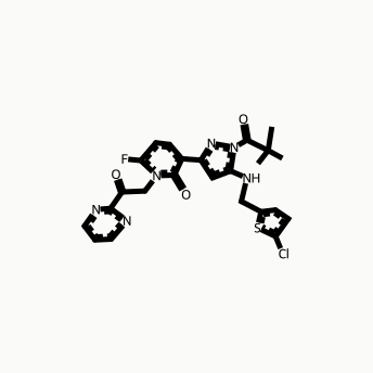 CC(C)(C)C(=O)n1nc(-c2ccc(F)n(CC(=O)c3ncccn3)c2=O)cc1NCc1ccc(Cl)s1